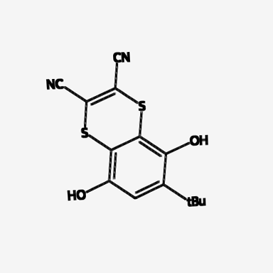 CC(C)(C)c1cc(O)c2c(c1O)SC(C#N)=C(C#N)S2